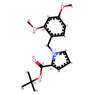 COc1ccc(Cn2cccc2C(=O)OC(C)(C)C)c(OC)c1